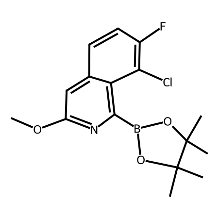 COc1cc2ccc(F)c(Cl)c2c(B2OC(C)(C)C(C)(C)O2)n1